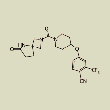 N#Cc1ccc(OC2CCN(C(=O)N3CC4(CCC(=O)N4)C3)CC2)cc1C(F)(F)F